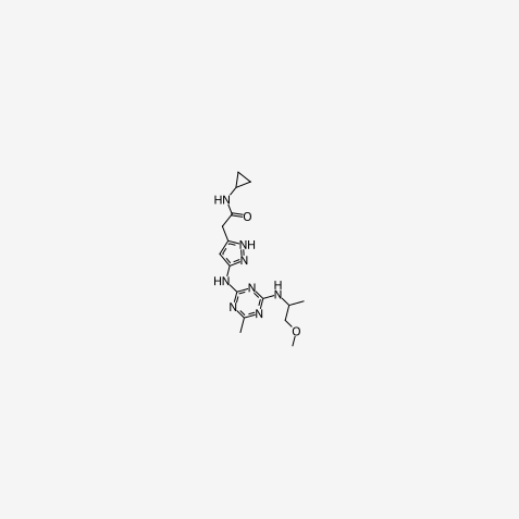 COCC(C)Nc1nc(C)nc(Nc2cc(CC(=O)NC3CC3)[nH]n2)n1